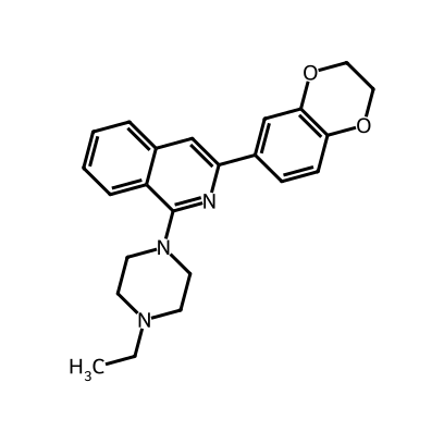 CCN1CCN(c2nc(-c3ccc4c(c3)OCCO4)cc3ccccc23)CC1